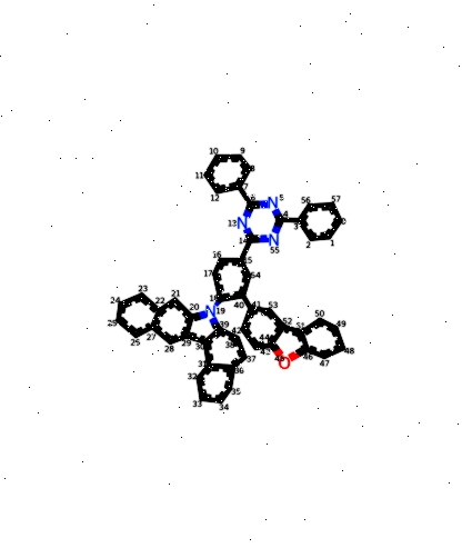 c1ccc(-c2nc(-c3ccccc3)nc(-c3ccc(-n4c5cc6ccccc6cc5c5c6ccccc6ccc54)c(-c4ccc5oc6ccccc6c5c4)c3)n2)cc1